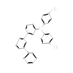 Cc1ccc(N(c2ccc(C)cc2)c2cccc(-c3cccc(-c4ccccc4)c3)c2)cc1